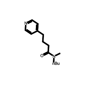 CCCCN(C)C(=O)CCCc1ccncc1